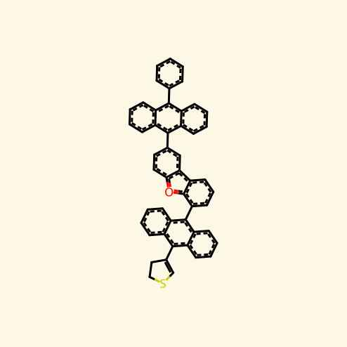 C1=C(c2c3ccccc3c(-c3cccc4c3oc3ccc(-c5c6ccccc6c(-c6ccccc6)c6ccccc56)cc34)c3ccccc23)CCS1